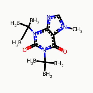 BC(B)(B)n1c(=O)c2c(ncn2C)n(C(B)(B)B)c1=O